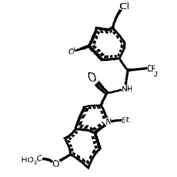 CCn1c(C(=O)NC(c2cc(Cl)cc(Cl)c2)C(F)(F)F)cc2cc(OC(=O)O)ccc21